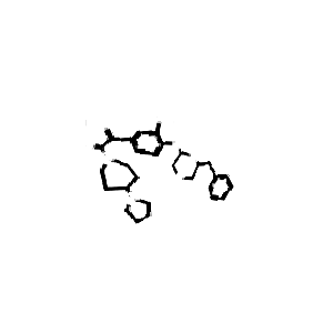 C=C(C(=O)N1CCC(N2CCCC2)CC1)c1ccc(SC2COCC(Cc3ccccc3)O2)c(C(F)(F)F)c1